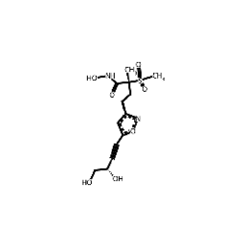 C[C@@](CCc1cc(C#C[C@H](O)CO)on1)(C(=O)NO)S(C)(=O)=O